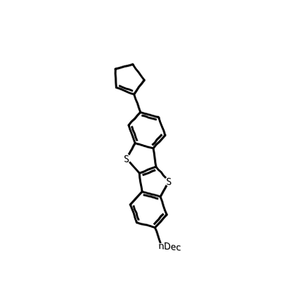 CCCCCCCCCCc1ccc2c(c1)sc1c3ccc(C4=CCCC4)cc3sc21